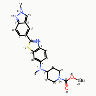 CN(c1ccc2nc(-c3ccc4nn(C)cc4c3)sc2c1)C1CCN(C(=O)OC(C)(C)C)CC1